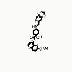 COc1ccc2nccc(NC(=O)C3(O)CCC(NCc4cc5c(cn4)OCCO5)CC3)c2n1